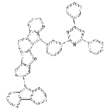 c1ccc(-c2nc(-c3ccccc3)nc(-c3cccc(-n4c5ccccc5c5ccc6c7ccc(-n8c9ccccc9c9ccccc98)cc7oc6c54)c3)n2)cc1